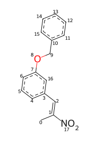 CC(=Cc1cccc(OCc2ccccc2)c1)[N+](=O)[O-]